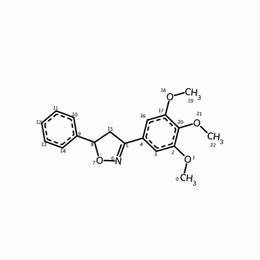 COc1cc(C2=NOC(c3ccccc3)C2)cc(OC)c1OC